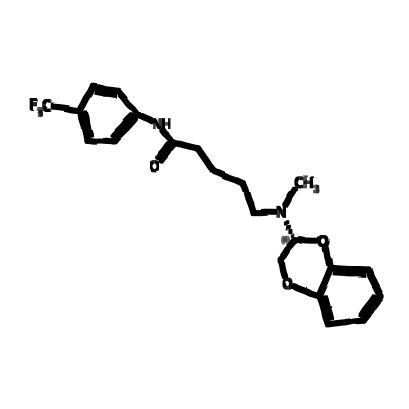 CN(CCCCC(=O)Nc1ccc(C(F)(F)F)cc1)[C@H]1COc2ccccc2O1